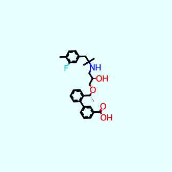 Cc1ccc(CC(C)(C)NC[C@@H](O)CO[C@H](C)c2ccccc2-c2cccc(C(=O)O)c2)cc1F